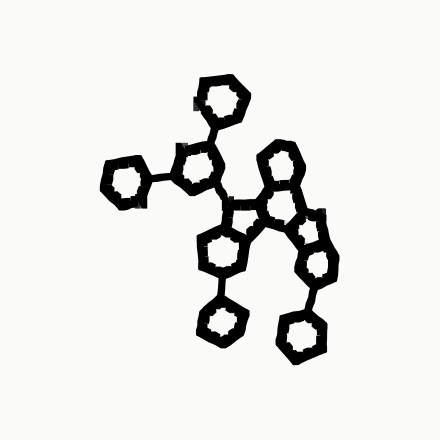 c1ccc(-c2ccc3sc4c5ccccc5c5c(c6cc(-c7ccccc7)ccc6n5-c5cc(-c6ccccn6)nc(-c6ccccn6)c5)c4c3c2)cc1